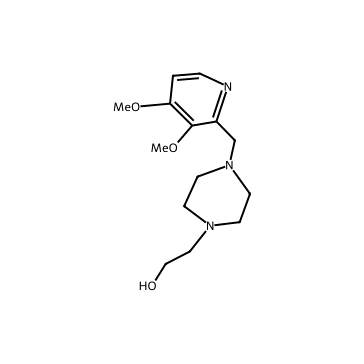 COc1ccnc(CN2CCN(CCO)CC2)c1OC